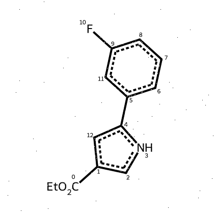 CCOC(=O)c1c[nH]c(-c2cccc(F)c2)c1